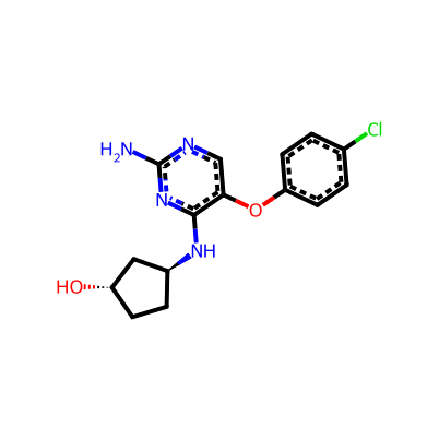 Nc1ncc(Oc2ccc(Cl)cc2)c(N[C@H]2CC[C@H](O)C2)n1